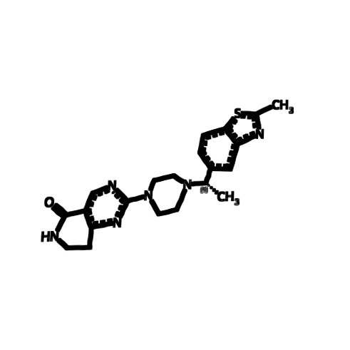 Cc1nc2cc([C@H](C)N3CCN(c4ncc5c(n4)CCNC5=O)CC3)ccc2s1